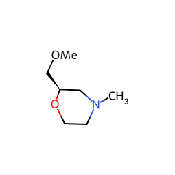 COC[C@H]1CN(C)CCO1